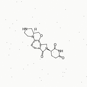 O=C1CC[C@@H](N2Cc3c(ccc4c3OC[C@@H]3CNCCN43)C2=O)C(=O)N1